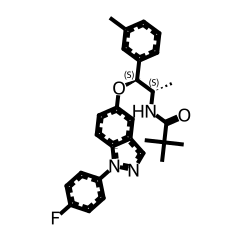 Cc1cccc([C@H](Oc2ccc3c(cnn3-c3ccc(F)cc3)c2)[C@H](C)NC(=O)C(C)(C)C)c1